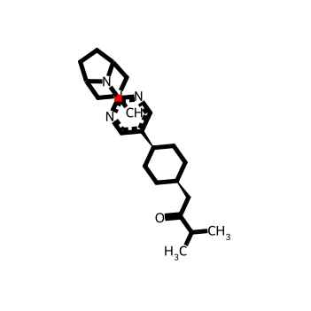 CC(C)C(=O)C[C@H]1CC[C@@H](c2cnc(N3C4CCC3CN(C)C4)nc2)CC1